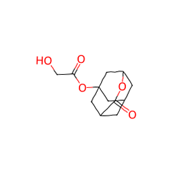 O=C(CO)OC12CC3CC(C1)OC(=O)C(C3)C2